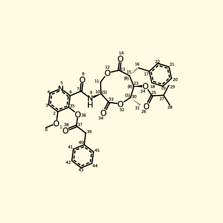 COc1ccnc(C(=O)N[C@H]2COC(=O)[C@H](Cc3ccccc3)[C@@H](OC(=O)C(C)C)[C@H](C)OC2=O)c1OC(=O)Cc1ccccc1